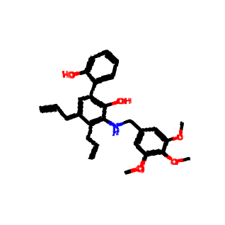 C=CCc1cc(-c2ccccc2O)c(O)c(NCc2cc(OC)c(OC)c(OC)c2)c1CC=C